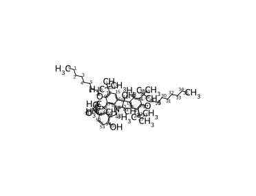 CCCCCCCCOc1c(C(C)(C)C)cc(C(O)(c2cc(C(C)(C)C)c(OCCCCCCCC)c(C(C)(C)C)c2)C(C)N=Cc2cc([N+](=O)[O-])ccc2O)cc1C(C)(C)C